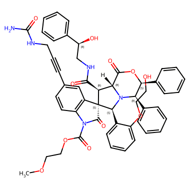 COCCOC(=O)N1C(=O)[C@@]2(c3cc(C#CCNC(N)=O)ccc31)[C@H](c1ccccc1OCCO)N1[C@H](c3ccccc3)[C@H](c3ccccc3)OC(=O)[C@H]1[C@@H]2C(=O)NC[C@H](O)c1ccccc1